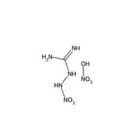 N=C(N)NN[N+](=O)[O-].O=[N+]([O-])O